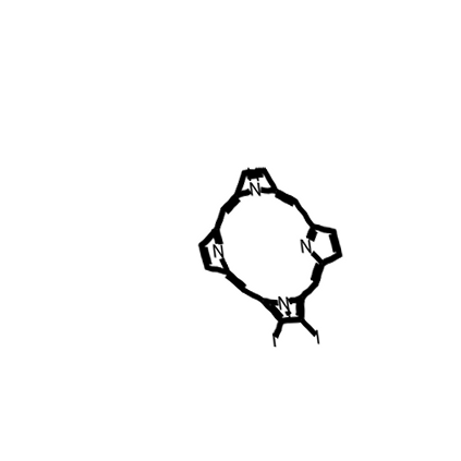 Ic1c(I)c2cc3nc(cc4ccc(cc5nc(cc1n2I)C=C5)[nH]4)C=C3